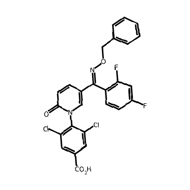 O=C(O)c1cc(Cl)c(-n2cc(C(=NOCc3ccccc3)c3ccc(F)cc3F)ccc2=O)c(Cl)c1